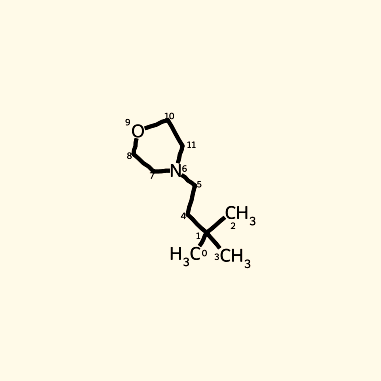 CC(C)(C)CCN1CCOCC1